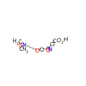 C[C@@H]1CN(CCCCCCCOc2ccc(-c3cc(-c4ccc(C(=O)O)cc4)no3)cc2)C[C@H](C)O1